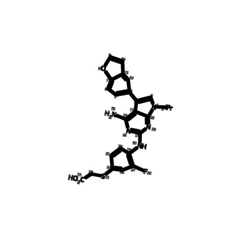 CC(C)n1cc(-c2ccc3occc3c2)c2c(N)nc(Nc3ccc(SCC(=O)O)cc3F)nc21